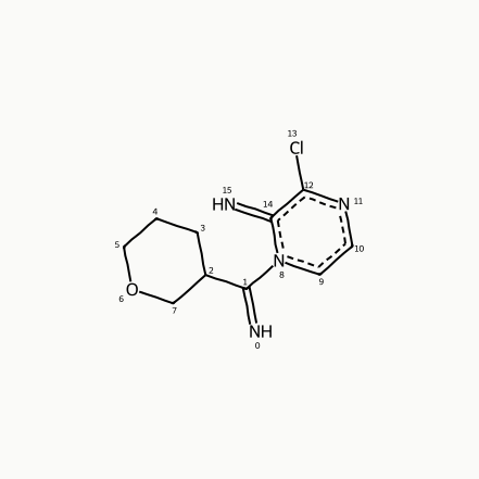 N=C(C1CCCOC1)n1ccnc(Cl)c1=N